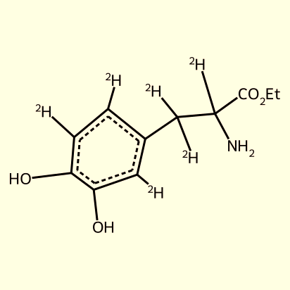 [2H]c1c([2H])c(C([2H])([2H])C([2H])(N)C(=O)OCC)c([2H])c(O)c1O